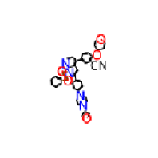 N#Cc1cc(-c2ccnc3c2cc(-c2ccc(N4CCN(C5COC5)CC4)cc2)n3S(=O)(=O)c2ccccc2)ccc1OC1CCOCC1